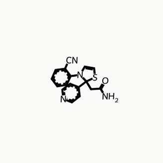 N#Cc1ccccc1N1C=CSC1(CC(N)=O)c1ccncc1